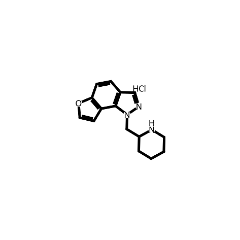 Cl.c1cc2c(ccc3cnn(CC4CCCCN4)c32)o1